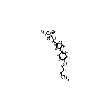 CCCCOc1ccc(-c2cc(COS(C)(=O)=O)on2)cc1